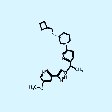 COc1cncc(-c2cn(C(C)c3ccc(N4CCC[C@@H](NCC5CCC5)C4)cn3)nn2)c1